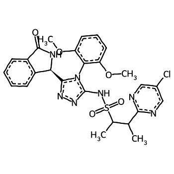 COc1cccc(OC)c1-n1c(NS(=O)(=O)C(C)C(C)c2ncc(Cl)cn2)nnc1[C@@H]1NC(=O)c2ccccc21